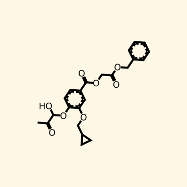 CC(=O)C(O)Oc1ccc(C(=O)OCC(=O)OCc2ccccc2)cc1OCC1CC1